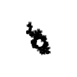 CCn1c(-c2cnccc2[C@H](C)OC)c2c3cc(ccc31)-c1cccc(c1)C[C@H](NC(=O)[C@H](C(C)C)N(C)C(=O)[C@H]1CCN(C(=O)C#CCN(C)C)C1)C(=O)N1CCC[C@H](N1)C(=O)OCC(C)(C)C2